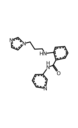 O=C(Nc1cccnc1)c1ccccc1NCCCn1ccnc1